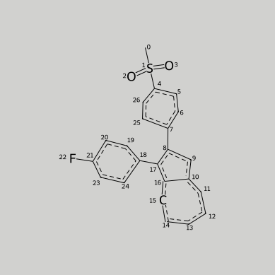 CS(=O)(=O)c1ccc(-c2cc3cccccc-3c2-c2ccc(F)cc2)cc1